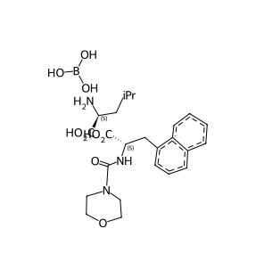 CC(C)C[C@H](N)C(=O)O.O=C(O)[C@H](Cc1cccc2ccccc12)NC(=O)N1CCOCC1.OB(O)O